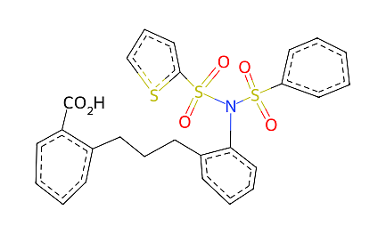 O=C(O)c1ccccc1CCCc1ccccc1N(S(=O)(=O)c1ccccc1)S(=O)(=O)c1cccs1